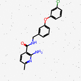 Cc1ccc(C(=O)NCc2cccc(Oc3cccc(Cl)c3)c2)c(N)n1